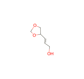 OCC=CC1COCO1